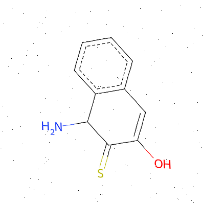 NC1C(=S)C(O)=Cc2ccccc21